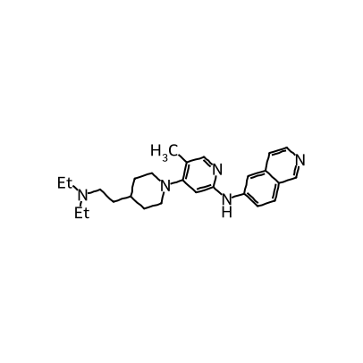 CCN(CC)CCC1CCN(c2cc(Nc3ccc4cnccc4c3)ncc2C)CC1